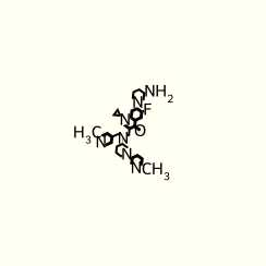 Cc1ccc(N2CCC[C@H](N(Cc3ccnc(C)c3)Cc3cn(C4CC4)c4cc(N5CCC[C@@H](N)C5)c(F)cc4c3=O)C2)cn1